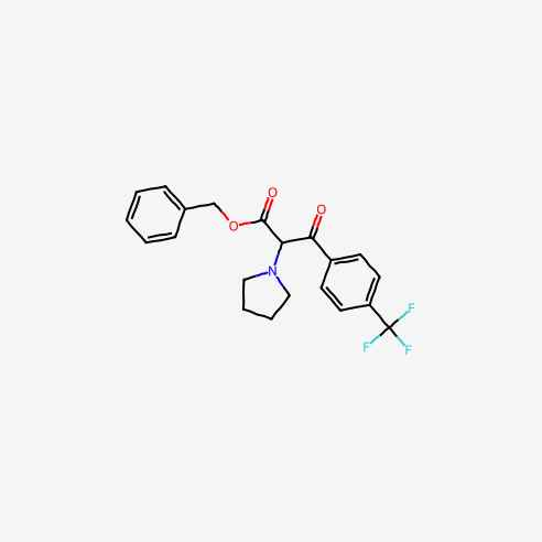 O=C(OCc1ccccc1)C(C(=O)c1ccc(C(F)(F)F)cc1)N1CCCC1